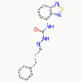 O=C(N/N=C/CCc1ccccc1)Nc1cccc2nsnc12